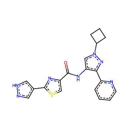 O=C(Nc1cn(C2CCC2)nc1-c1ccccn1)c1csc(-c2cn[nH]c2)n1